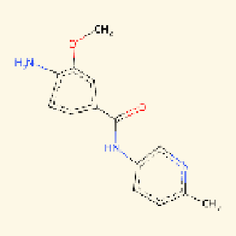 COc1cc(C(=O)Nc2ccc(C)nc2)ccc1N